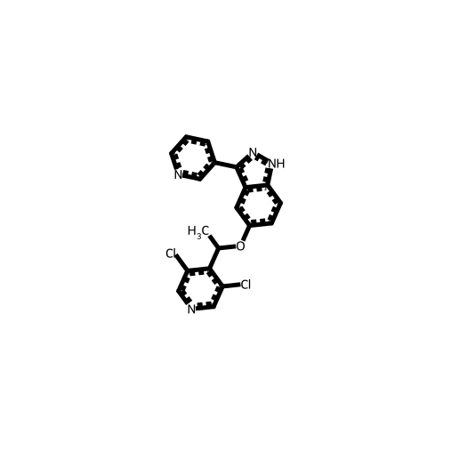 CC(Oc1ccc2[nH]nc(-c3cccnc3)c2c1)c1c(Cl)cncc1Cl